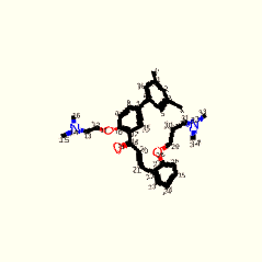 Cc1cc(C)cc(-c2ccc(OCCN(C)C)c(C(=O)/C=C/c3ccccc3OCCCN(C)C)c2)c1